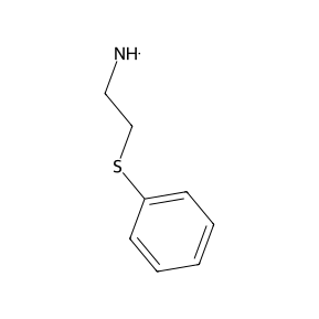 [NH]CCSc1ccccc1